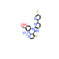 Nc1nccc(F)c1-c1nc2ccc(-c3ccc(F)cn3)nc2n1-c1ccc(CO)cc1